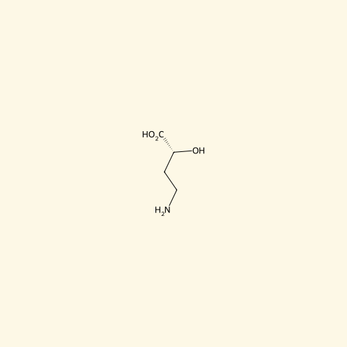 NCC[C@@H](O)C(=O)O